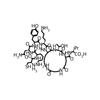 CC(C)[C@H](NC(=O)C1CCC(=O)NCCC(=O)NCCCCC(NC(=O)[C@H](CCCCN)NC(=O)C(Cc2ccc(O)cc2)NC(=O)[C@H](CC(N)=O)NC(=O)C(CCCCN)NC(=O)[C@@H](N)CS)C(=O)N[C@@H](C(C)O)C(=O)N1)C(=O)O